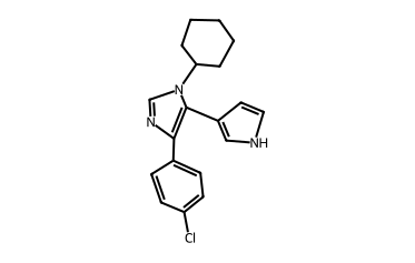 Clc1ccc(-c2ncn(C3CCCCC3)c2-c2cc[nH]c2)cc1